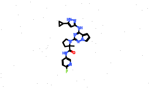 CC1(C(=O)Nc2ccc(F)nc2)CCCN1c1nc(Nc2cc(C3CC3)[nH]n2)c2cccn2n1